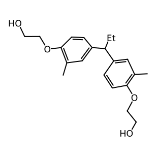 CCC(c1ccc(OCCO)c(C)c1)c1ccc(OCCO)c(C)c1